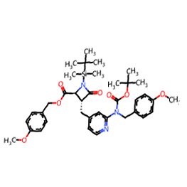 COc1ccc(COC(=O)[C@@H]2[C@@H](Cc3ccnc(N(Cc4ccc(OC)cc4)C(=O)OC(C)(C)C)c3)C(=O)N2[Si](C)(C)C(C)(C)C)cc1